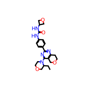 CCC1COCCN1c1nc(-c2ccc(NC(=O)NC3COC3)cc2)nc2c1COCC2